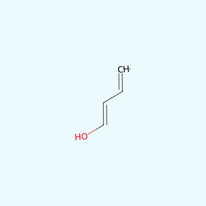 [CH]=CC=CO